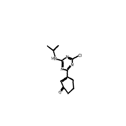 CC(C)Nc1nc(Cl)nc(C2=CC(=O)CCC2)n1